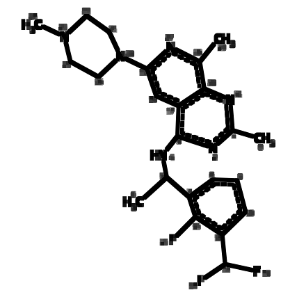 Cc1nc(NC(C)c2cccc(C(F)F)c2F)c2cc(N3CCN(C)CC3)nc(C)c2n1